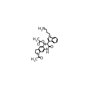 CC(=O)ON1c2cc3c(cc2NC(=O)C1c1cn(CCCN)c2ccccc12)N(C(C)=O)CC3